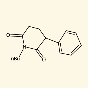 CCCCN1C(=O)CCC(c2ccccc2)C1=O